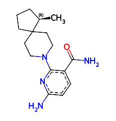 C[C@@H]1CCCC12CCN(c1nc(N)ccc1C(N)=O)CC2